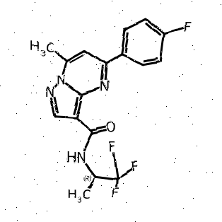 Cc1cc(-c2ccc(F)cc2)nc2c(C(=O)N[C@H](C)C(F)(F)F)cnn12